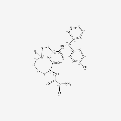 CC[C@H](N)C(=O)N[C@H]1CCCC[C@H]2CC[C@@H](C(=O)N[C@H](c3ccccc3)c3ccc(C)cc3)N2C1=O